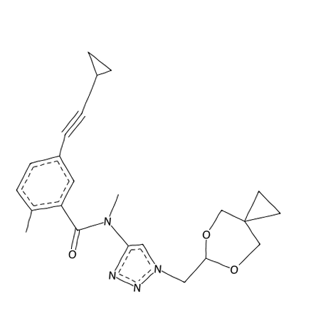 Cc1ccc(C#CC2CC2)cc1C(=O)N(C)c1cn(CC2OCC3(CC3)CO2)nn1